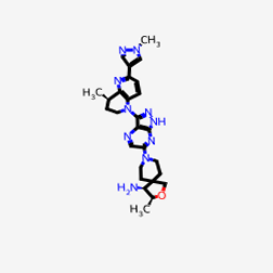 C[C@@H]1CCN(c2n[nH]c3nc(N4CCC5(CC4)CO[C@@H](C)[C@H]5N)cnc23)c2ccc(-c3cnn(C)c3)nc21